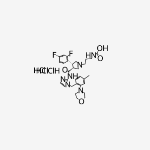 Cc1ccc(Cn2ccnc2NC(=O)[C@@H]2CN(CCCNC(=O)O)C[C@H]2c2ccc(F)cc2F)c(N2CCOCC2)c1.Cl.Cl.Cl